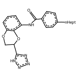 CCCCCCCc1ccc(C(=O)Nc2cccc3c2OC(c2nnn[nH]2)CO3)cc1